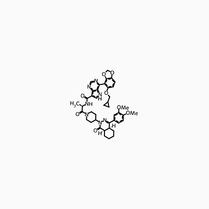 COc1ccc(C2=NN(C3CCN(C(=O)[C@@H](C)NC(=O)c4c[nH]c5c(-c6c(OCC7CC7)ccc7c6OCO7)ncnc45)CC3)C(=O)[C@@H]3CCCC[C@H]23)cc1OC